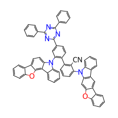 N#Cc1c(-c2ccc(-c3nc(-c4ccccc4)nc(-c4ccccc4)n3)cc2-n2c3ccccc3c3c4oc5ccccc5c4ccc32)cccc1-n1c2ccccc2c2cc3c(cc21)oc1ccccc13